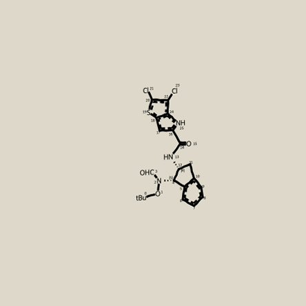 CC(C)(C)ON(C=O)[C@H]1c2ccccc2C[C@H]1NC(=O)c1cc2sc(Cl)c(Cl)c2[nH]1